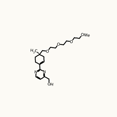 COCCOCCOCCOC[C@]1(C)CC=C(c2nccc(CO)n2)CC1